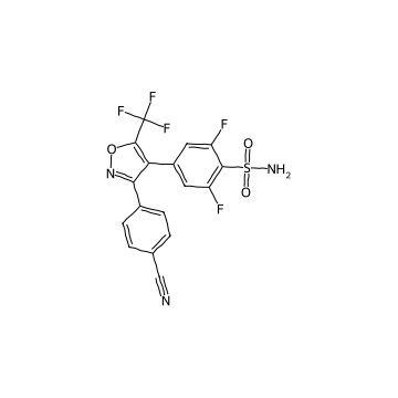 N#Cc1ccc(-c2noc(C(F)(F)F)c2-c2cc(F)c(S(N)(=O)=O)c(F)c2)cc1